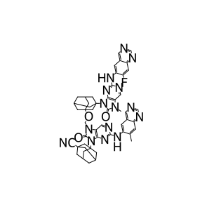 Cc1cc2ncncc2cc1Nc1ncc2c(n1)n(C13CC4CC(CC(C#N)(C4)C1)C3)c(=O)n2COC12CC3CC(C1)CC(n1c(=O)n(C)c4cnc(Nc5cc6cncnc6cc5F)nc41)(C3)C2